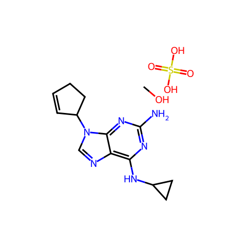 CO.Nc1nc(NC2CC2)c2ncn(C3C=CCC3)c2n1.O=S(=O)(O)O